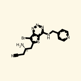 N#CC[C@H](N)Cc1sc2c(NCc3ccncc3)nnnc2c1Br